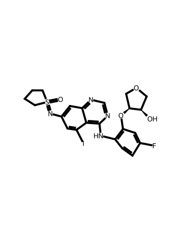 O=S1(=Nc2cc(I)c3c(Nc4ccc(F)cc4O[C@H]4COC[C@H]4O)ncnc3c2)CCCC1